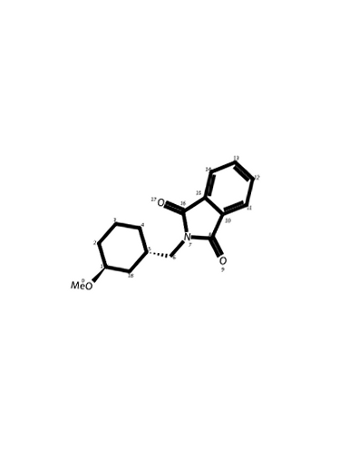 CO[C@H]1CCC[C@H](CN2C(=O)c3ccccc3C2=O)C1